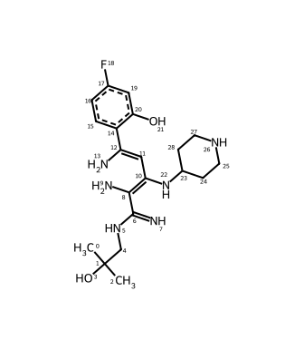 CC(C)(O)CNC(=N)/C(N)=C(/C=C(\N)c1ccc(F)cc1O)NC1CCNCC1